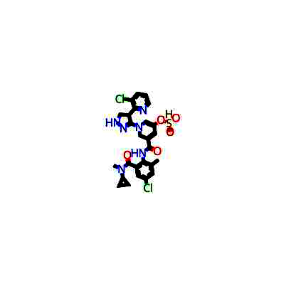 Cc1cc(Cl)cc(C(=O)N(C)C2CC2)c1NC(=O)C1=CC(O[SH](=O)=O)=CN(C2=NNCC2c2ncccc2Cl)C1